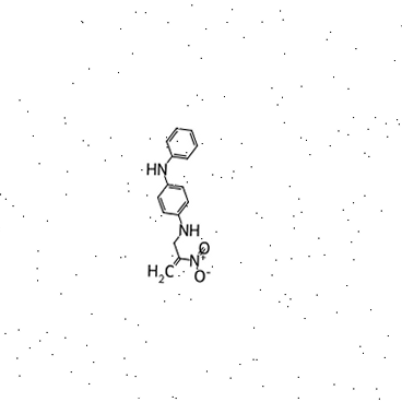 C=C(CNc1ccc(Nc2ccccc2)cc1)[N+](=O)[O-]